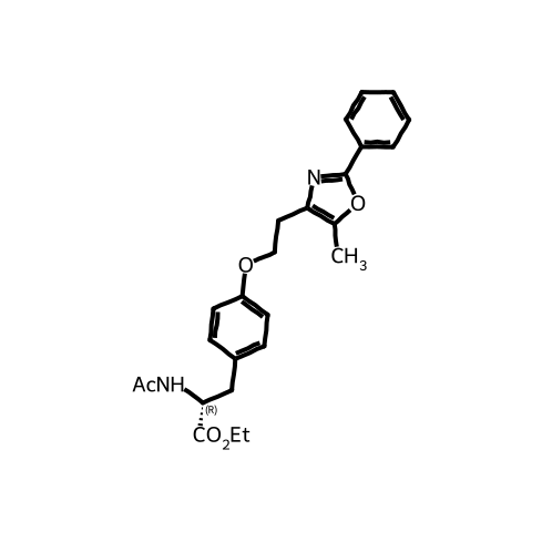 CCOC(=O)[C@@H](Cc1ccc(OCCc2nc(-c3ccccc3)oc2C)cc1)NC(C)=O